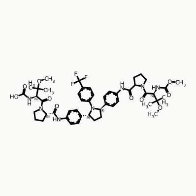 COC(=O)N[C@H](C(=O)N1CCCC1C(=O)Nc1ccc([C@H]2CC[C@H](c3ccc(NC(=O)[C@@H]4CCCN4C(=O)[C@@H](NC(=O)O)C(C)(C)OC)cc3)N2c2ccc(C(F)(F)F)cc2)cc1)C(C)(C)OC